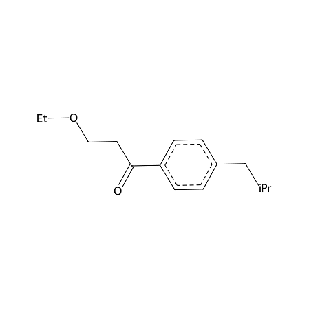 CCOCCC(=O)c1ccc(CC(C)C)cc1